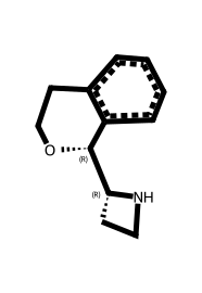 c1ccc2c(c1)CCO[C@H]2[C@H]1CCN1